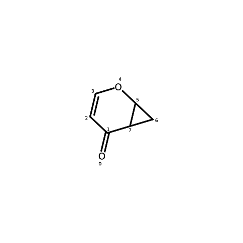 O=C1C=COC2CC12